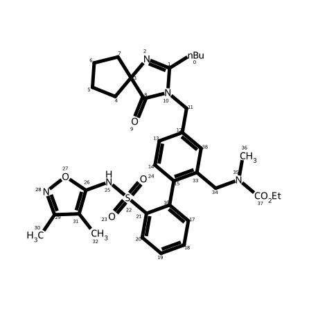 CCCCC1=NC2(CCCC2)C(=O)N1Cc1ccc(-c2ccccc2S(=O)(=O)Nc2onc(C)c2C)c(CN(C)C(=O)OCC)c1